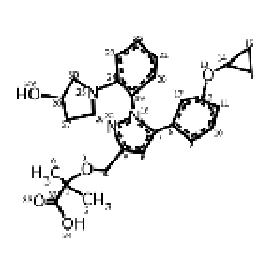 CC(C)(OCc1cc(-c2cccc(OC3CC3)c2)n(-c2ccccc2N2CC[C@@H](O)C2)n1)C(=O)O